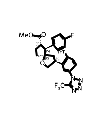 COC(=O)[C@H]1CC[C@@]2(C[C@@H](c3cc(-n4nnnc4C(F)(F)F)ccc3C(C)C)CO2)[C@@H]1c1ccc(F)cc1